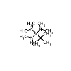 C[N](C)[Sn]([N](C)C)([N](C)C)[C](C)(C)C